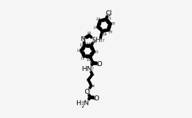 NC(=O)OCCCNC(=O)c1ccc2c(c1)[SH](Cc1ccc(Cl)cc1)C=N2